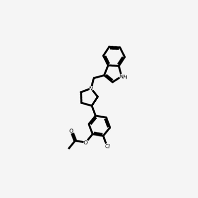 CC(=O)Oc1cc(C2CCN(Cc3c[nH]c4ccccc34)C2)ccc1Cl